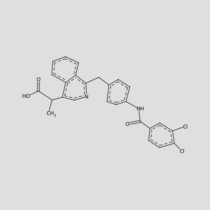 CC(C(=O)O)c1cnc(Cc2ccc(NC(=O)c3ccc(Cl)c(Cl)c3)cc2)c2ccccc12